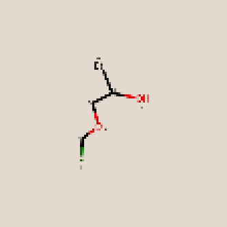 CCC(O)COCF